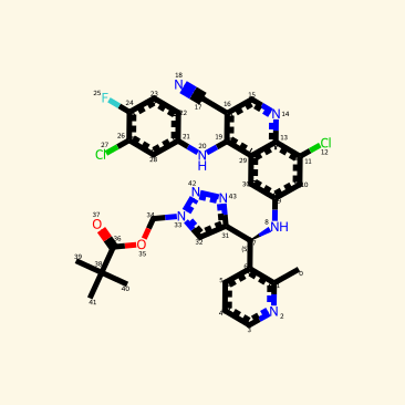 Cc1ncccc1[C@H](Nc1cc(Cl)c2ncc(C#N)c(Nc3ccc(F)c(Cl)c3)c2c1)c1cn(COC(=O)C(C)(C)C)nn1